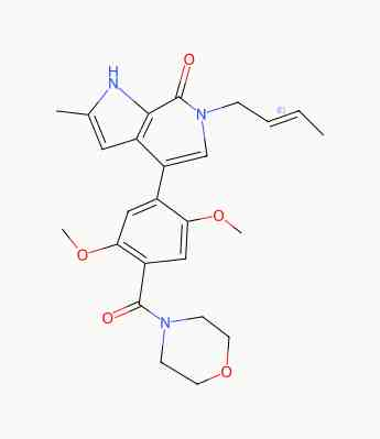 C/C=C/Cn1cc(-c2cc(OC)c(C(=O)N3CCOCC3)cc2OC)c2cc(C)[nH]c2c1=O